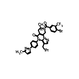 Cc1ccn(-c2ccc(-n3c(=O)c4c(n5ncc(CC(C)C)c35)CN(C(=O)c3ccc(Br)c(C(F)(F)F)c3)[C@H](C)C4)cc2)n1